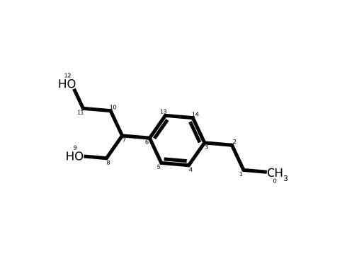 CCCc1ccc(C(CO)CCO)cc1